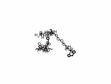 CCCC1O[C@@H]2C[C@H]3C[C@@](F)([C@@]4(C)C=CC(=O)C=C4[C@@H](F)CC)[C@@H](O)C[C@]3(C)[C@]2(C(=O)COC(=O)OCc2ccc(NC(=O)[C@H](CCCNC(N)=O)NC(=O)[C@@H](NC(=O)CCOCCOCCOCCOCCNC(=O)CCC(=O)N3Cc4ccccc4C#Cc4ccccc43)C(C)C)cc2)O1